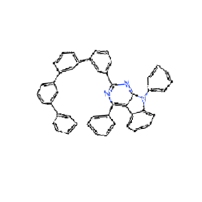 c1ccc(-c2cccc(-c3cccc(-c4cccc(-c5nc(-c6ccccc6)c6c7ccccc7n(-c7ccccc7)c6n5)c4)c3)c2)cc1